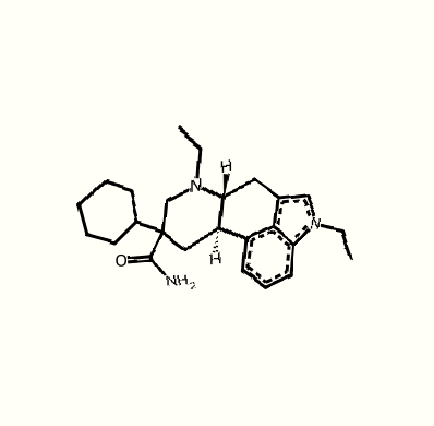 CCN1CC(C(N)=O)(C2CCCCC2)C[C@@H]2c3cccc4c3c(cn4CC)C[C@H]21